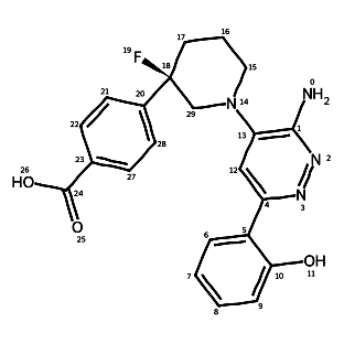 Nc1nnc(-c2ccccc2O)cc1N1CCC[C@@](F)(c2ccc(C(=O)O)cc2)C1